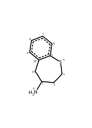 NC1CCSc2ccccc2C1